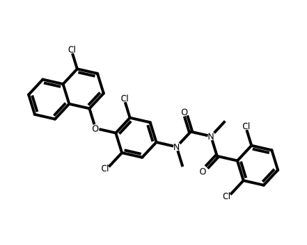 CN(C(=O)c1c(Cl)cccc1Cl)C(=O)N(C)c1cc(Cl)c(Oc2ccc(Cl)c3ccccc23)c(Cl)c1